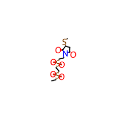 CCS(=O)(=O)CCS(=O)(=O)CCN1C(=O)CC(SC)C1=O